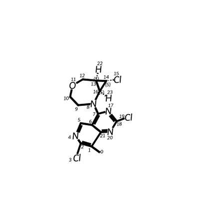 Cc1c(Cl)ncc2c(N3CCOC[C@H]4[C@H](Cl)[C@H]43)nc(Cl)nc12